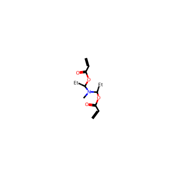 C=CC(=O)OC(CC)N(C)C(CC)OC(=O)C=C